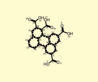 O=C(O)c1cc2cc(C(=O)O)cc3c4c(C(=O)O)c(C(=O)O)cc5cccc(c(c1)c23)c54